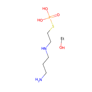 CCO.NCCCNCCSP(=O)(O)O